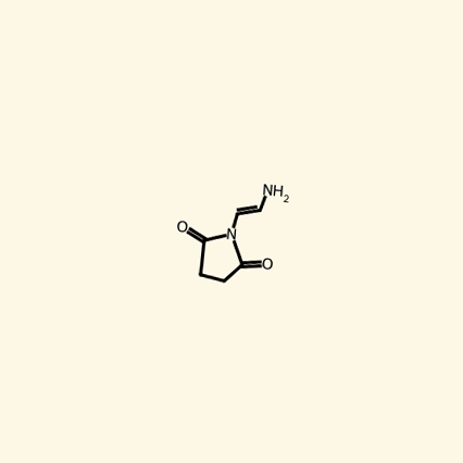 NC=CN1C(=O)CCC1=O